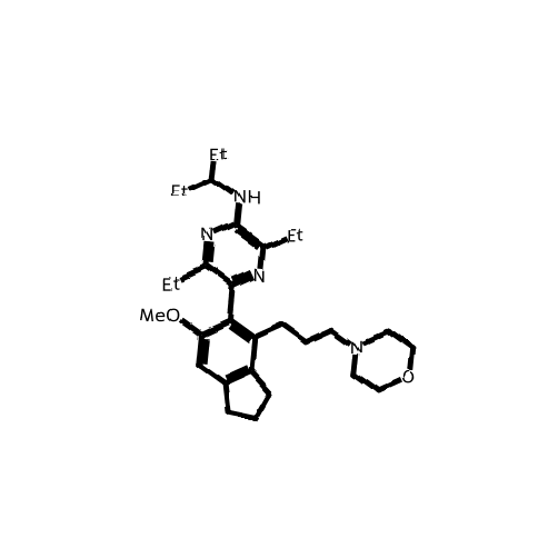 CCc1nc(-c2c(OC)cc3c(c2CCCN2CCOCC2)CCC3)c(CC)nc1NC(CC)CC